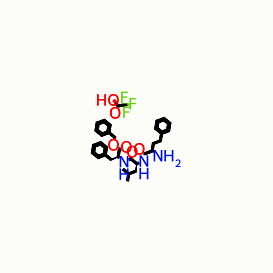 CC(C)C[C@H](NC(=O)[C@@H](N)CCc1ccccc1)C(=O)N[C@@H](Cc1ccccc1)C(=O)OCc1ccccc1.O=C(O)C(F)(F)F